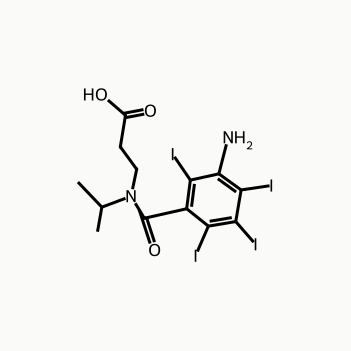 CC(C)N(CCC(=O)O)C(=O)c1c(I)c(N)c(I)c(I)c1I